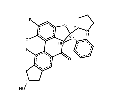 CNC(=O)c1cc2c(c(F)c1-c1c(Cl)c(F)cc3c1C[C@](c1ccccc1)([C@@H]1CCCN1)O3)C[C@@H](O)C2